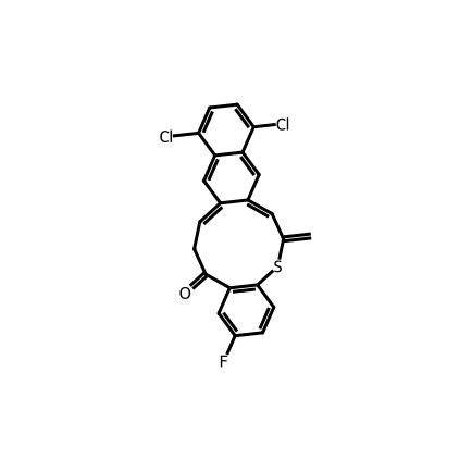 C=C1/C=c2/cc3c(Cl)ccc(Cl)c3c/c2=C/CC(=O)c2cc(F)ccc2S1